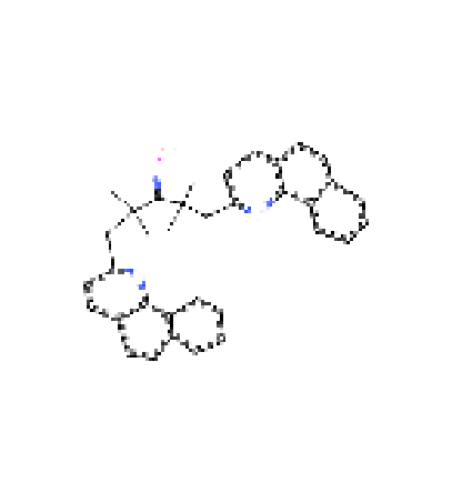 CC(C)(Cc1ccc2ccc3ccccc3c2n1)C(=NO)C(C)(C)Cc1ccc2ccc3ccccc3c2n1